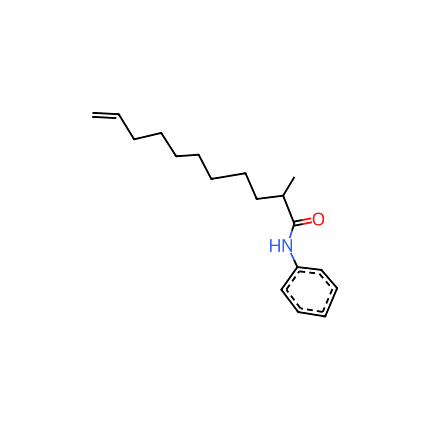 C=CCCCCCCCC(C)C(=O)Nc1ccccc1